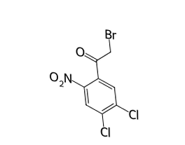 O=C(CBr)c1cc(Cl)c(Cl)cc1[N+](=O)[O-]